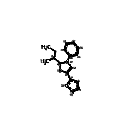 CCC(C)C1SC(c2ccno2)=[C]N1c1ccccc1